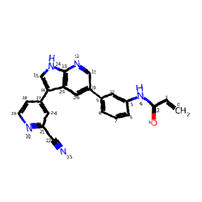 C=CC(=O)Nc1cccc(-c2cnc3[nH]cc(-c4ccnc(C#N)c4)c3c2)c1